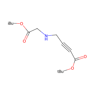 CCC(C)OC(=O)CNCC#CC(=O)OC(C)(C)C